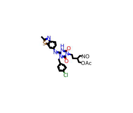 CC(=O)OCC(CCn1c(=O)[nH]/c(=N\c2ccc3nc(C)sc3c2)n(Cc2ccc(Cl)cc2)c1=O)CN=O